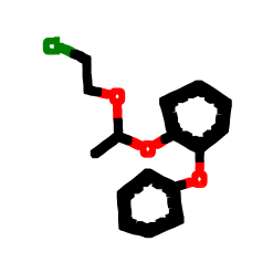 CC(OCCCl)Oc1ccccc1Oc1ccccc1